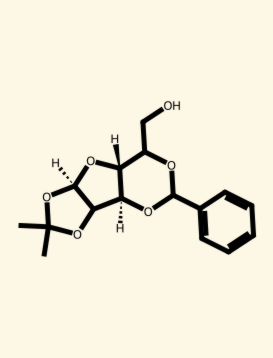 CC1(C)OC2[C@H](O[C@@H]3C(CO)OC(c4ccccc4)O[C@@H]23)O1